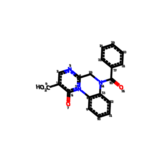 O=C(O)c1cnc2n(c1=O)-c1ccccc1N(C(=O)c1ccccc1)C2